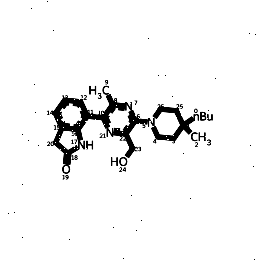 CCCCC1(C)CCN(c2nc(C)c(-c3cccc4c3NC(=O)C4)nc2CO)CC1